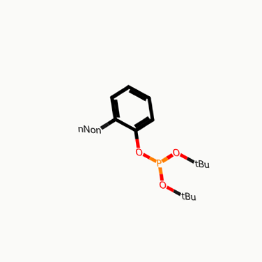 CCCCCCCCCc1ccccc1OP(OC(C)(C)C)OC(C)(C)C